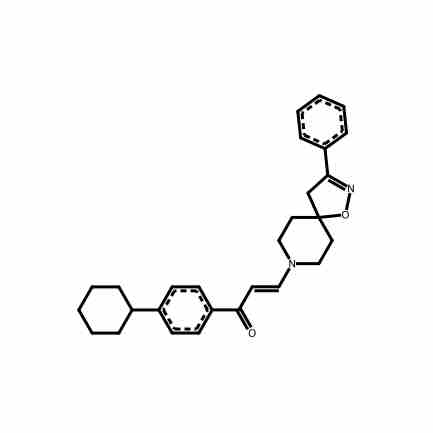 O=C(C=CN1CCC2(CC1)CC(c1ccccc1)=NO2)c1ccc(C2CCCCC2)cc1